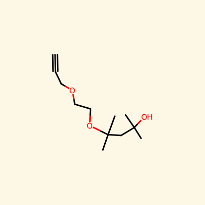 C#CCOCCOC(C)(C)CC(C)(C)O